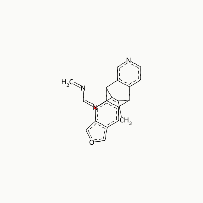 C=N/C=N\C1=C(C)C2c3ccncc3C1c1cc3cocc3cc12